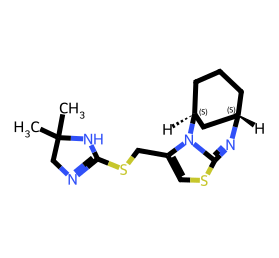 CC1(C)CN=C(SCC2=CSC3=N[C@H]4CCC[C@@H](C4)N23)N1